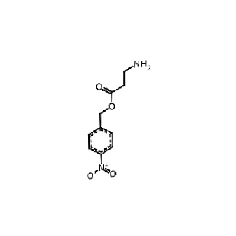 NCCC(=O)OCc1ccc([N+](=O)[O-])cc1